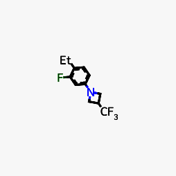 CCc1ccc(N2CC(C(F)(F)F)C2)cc1F